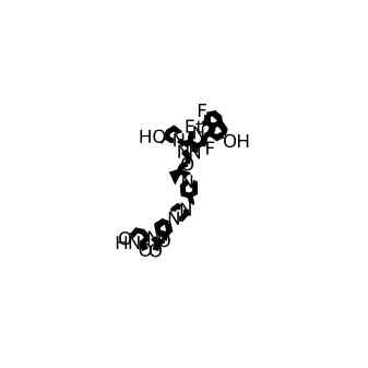 CCc1c(F)ccc2cc(O)cc(-c3ncc4c(N5CCC[C@@](C)(O)C5)nc(OCC5(CN6CCC(CN7CCN(c8ccc9c(c8)oc(=O)n9C8CCC(=O)NC8=O)CC7)CC6)CC5)nc4c3F)c12